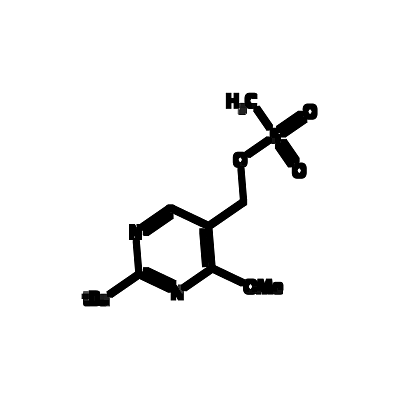 COc1nc(C(C)(C)C)ncc1COS(C)(=O)=O